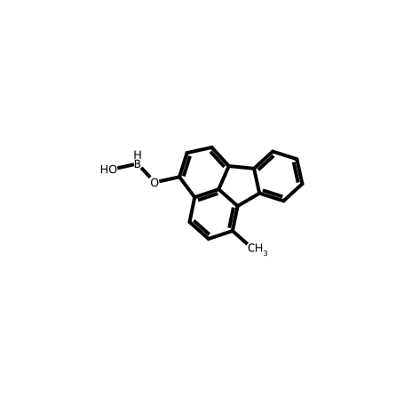 Cc1ccc2c(OBO)ccc3c2c1-c1ccccc1-3